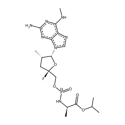 CNc1nc(N)nc2c1ncn2[C@@H]1O[C@](F)(CO[PH](=O)N[C@H](C)C(=O)OC(C)C)C[C@@H]1C